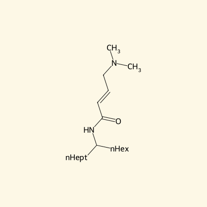 CCCCCCCC(CCCCCC)NC(=O)/C=C/CN(C)C